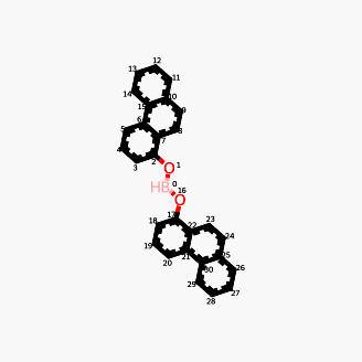 B(Oc1cccc2c1ccc1ccccc12)Oc1cccc2c1ccc1ccccc12